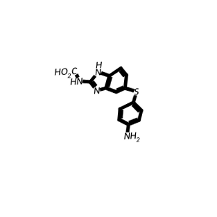 Nc1ccc(Sc2ccc3[nH]c(NC(=O)O)nc3c2)cc1